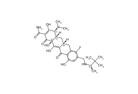 C[C@@H](NCc1cc(O)c2c(c1F)C[C@H]1C[C@H]3[C@H](N(C)C)C(O)=C(C(N)=O)C(=O)[C@@]3(O)C(O)=C1C2=O)C(C)(C)C